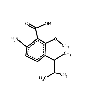 COc1c(C(C)C(C)C)ccc(N)c1C(=O)O